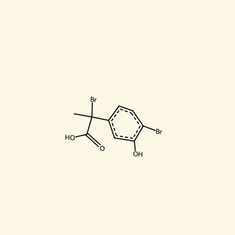 CC(Br)(C(=O)O)c1ccc(Br)c(O)c1